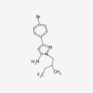 CC(Cn1nc(-c2ccc(Br)cc2)cc1N)CC(F)(F)F